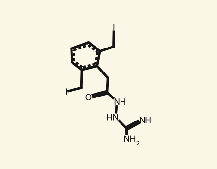 N=C(N)NNC(=O)Cc1c(CI)cccc1CI